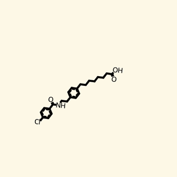 O=C(O)CCCCCCCc1ccc(CCNC(=O)c2ccc(Cl)cc2)cc1